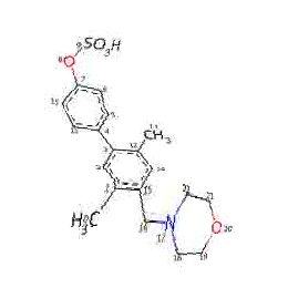 Cc1cc(-c2ccc(OS(=O)(=O)O)cc2)c(C)cc1CN1CCOCC1